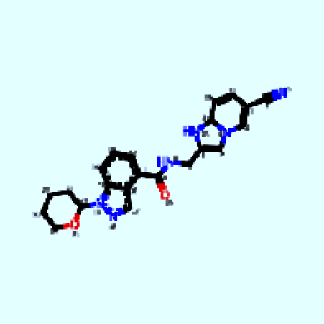 N#CC1=CN2C=C(CNC(=O)c3cccc4c3cnn4C3CCCCO3)NC2C=C1